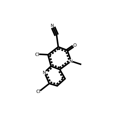 Cn1c(=O)c(C#N)c(Cl)c2nc(Cl)ccc21